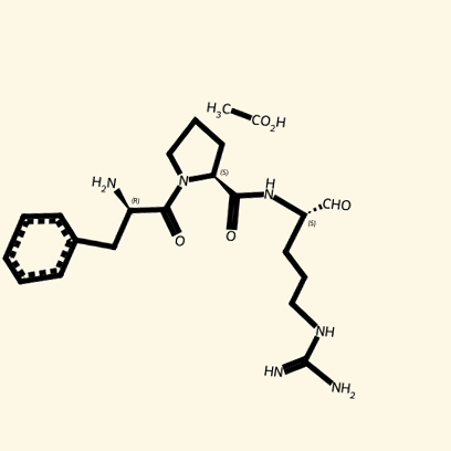 CC(=O)O.N=C(N)NCCC[C@@H](C=O)NC(=O)[C@@H]1CCCN1C(=O)[C@H](N)Cc1ccccc1